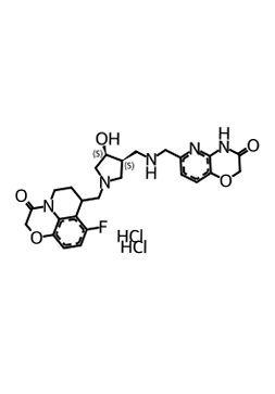 Cl.Cl.O=C1COc2ccc(CNC[C@H]3CN(CC4CCN5C(=O)COc6ccc(F)c4c65)C[C@H]3O)nc2N1